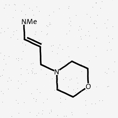 CNC=CCN1CCOCC1